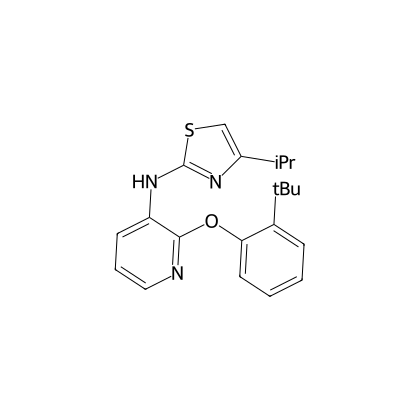 CC(C)c1csc(Nc2cccnc2Oc2ccccc2C(C)(C)C)n1